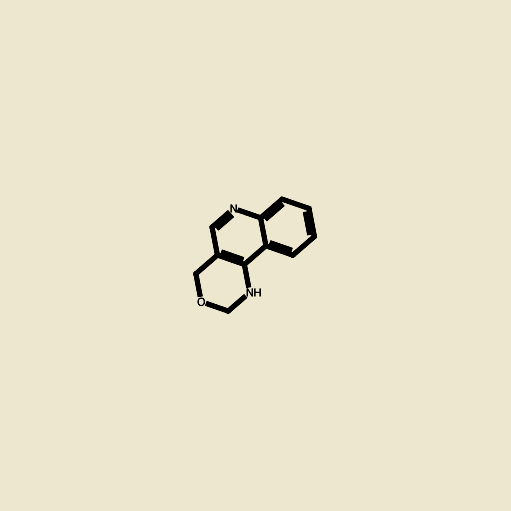 c1ccc2c3c(cnc2c1)COCN3